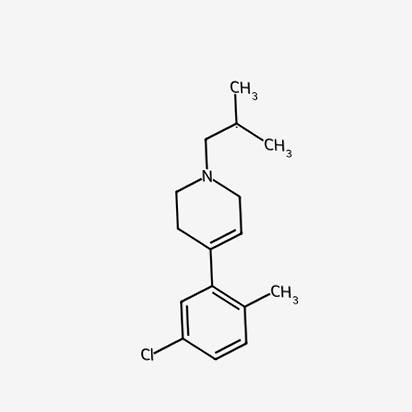 C[C](C)CN1CC=C(c2cc(Cl)ccc2C)CC1